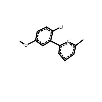 COc1ccc(Cl)c(-c2cccc(C)n2)c1